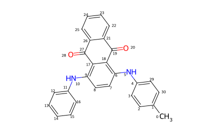 Cc1ccc(Nc2ccc(Nc3ccccc3)c3c2C(=O)c2ccccc2C3=O)cc1